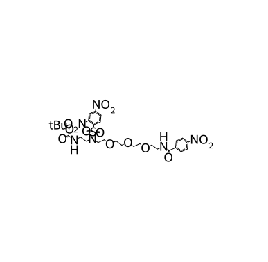 CC(C)(C)OC(=O)NCCN(CCOCCOCCOCCNC(=O)c1ccc([N+](=O)[O-])cc1)S(=O)(=O)c1ccc([N+](=O)[O-])cc1[N+](=O)[O-]